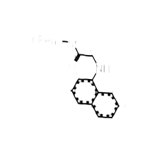 CCCCCOC(=O)[C@H](C)Nc1cccc2ccccc12